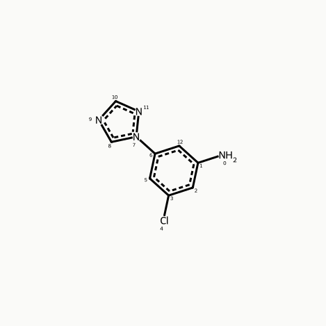 Nc1cc(Cl)cc(-n2cncn2)c1